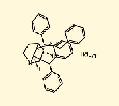 Cl.Cl.c1ccc(CN[C@@H]2C3CCN(CC3)[C@@H]2[C@H](c2ccccc2)c2ccccc2Cc2ccccc2)cc1